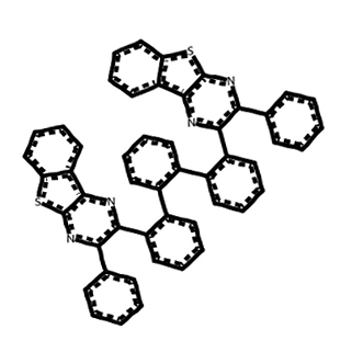 c1ccc(-c2nc3sc4ccccc4c3nc2-c2ccccc2-c2ccccc2-c2ccccc2-c2nc3c(nc2-c2ccccc2)sc2ccccc23)cc1